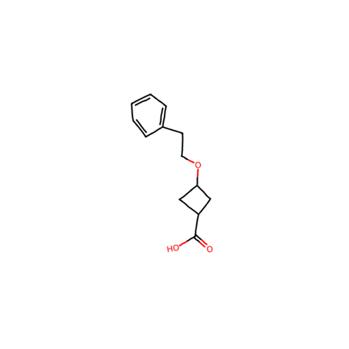 O=C(O)C1CC(OCCc2ccccc2)C1